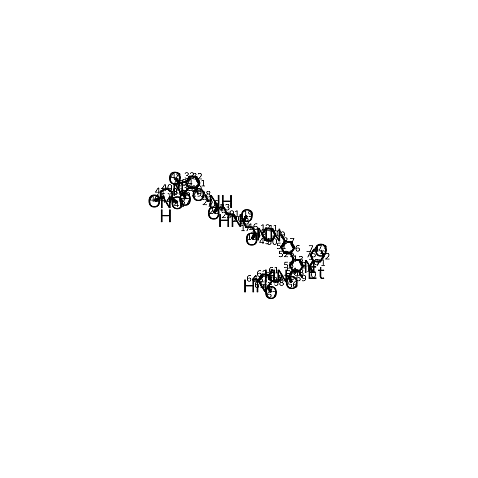 CCN(c1cc(-c2ccc(CN3CCN(C(=O)CCC(=O)NCCCC(=O)NCCOc4cccc5c4C(=O)N(C4CCC(=O)NC4=O)C5=O)CC3)cc2)cc(C(=O)NCc2c(C)cc(C)[nH]c2=O)c1C)C1CCOCC1